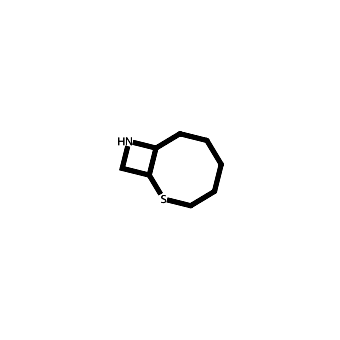 C1CCSC2CNC2CC1